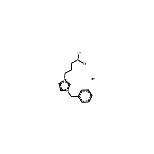 CCN(CC)CCC[n+]1ccn(Cc2ccccc2)c1.[Br-]